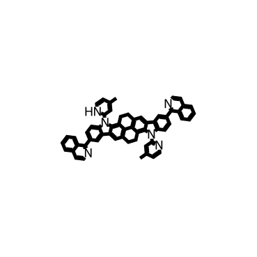 CC1=CC(n2c3ccc(-c4nccc5ccccc45)cc3c3cc4c5c(c32)CCc2cc3c6cc(-c7nccc8ccccc78)ccc6n(-c6cc(C)ccn6)c3c(c2-5)CC4)NC=C1